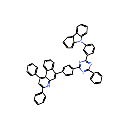 c1ccc(-c2cc(-c3ccccc3)c3c(cc(-c4ccc(-c5nc(-c6ccccc6)nc(-c6cccc(-n7c8ccccc8c8ccccc87)c6)n5)cc4)c4ccccc43)n2)cc1